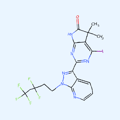 CC1(C)C(=O)Nc2nc(-c3nn(CCC(F)(F)C(F)(F)F)c4ncccc34)nc(I)c21